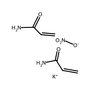 C=CC(N)=O.C=CC(N)=O.O=[N+]([O-])[O-].[K+]